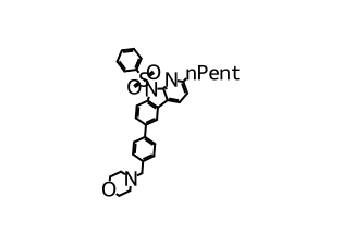 CCCCCc1ccc2c3cc(-c4ccc(CN5CCOCC5)cc4)ccc3n(S(=O)(=O)c3ccccc3)c2n1